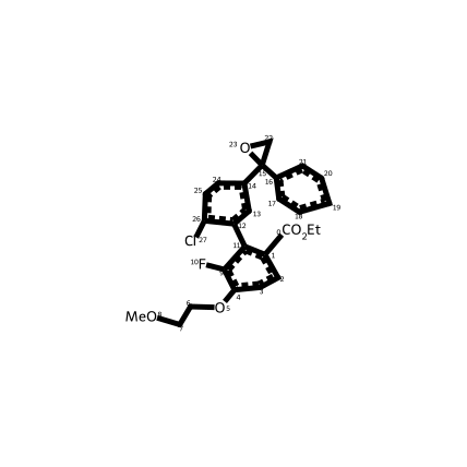 CCOC(=O)c1ccc(OCCOC)c(F)c1-c1cc(C2(c3ccccc3)CO2)ccc1Cl